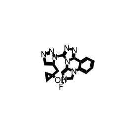 OC1(Cc2cnnn2-c2nnc3n2C2=CN(F)CN2c2ccccc2-3)CC1